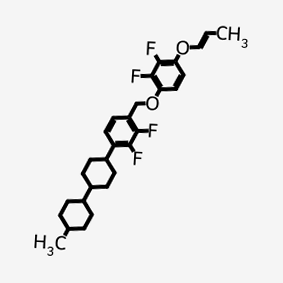 C/C=C/Oc1ccc(OCc2ccc(C3CCC(C4CCC(C)CC4)CC3)c(F)c2F)c(F)c1F